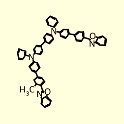 CC1CC(c2ccc(N(c3ccccc3)c3ccc(-c4ccc(N(c5ccccc5)c5ccc(-c6ccc(-c7nc8ccccc8o7)cc6)cc5)cc4)cc3)cc2)=CC=C1c1nc2ccccc2o1